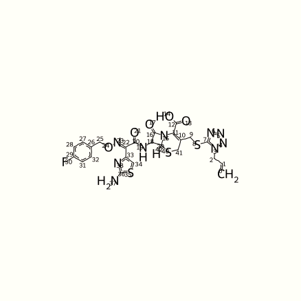 C=CCn1nnnc1SCC1=C(C(=O)O)N2C(=O)C(NC(=O)/C(=N/OCc3ccc(F)cc3)c3csc(N)n3)[C@H]2SC1